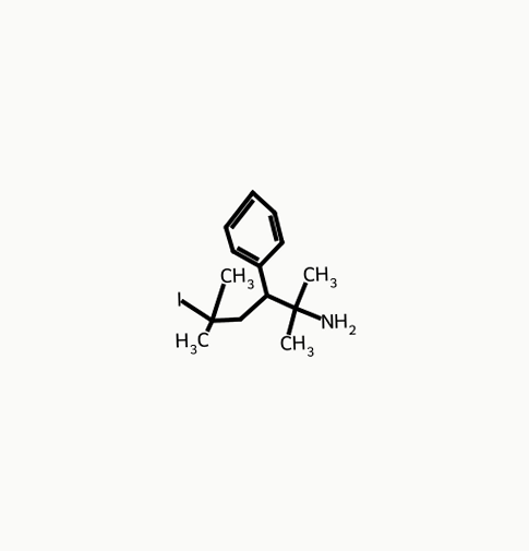 CC(C)(I)CC(c1ccccc1)C(C)(C)N